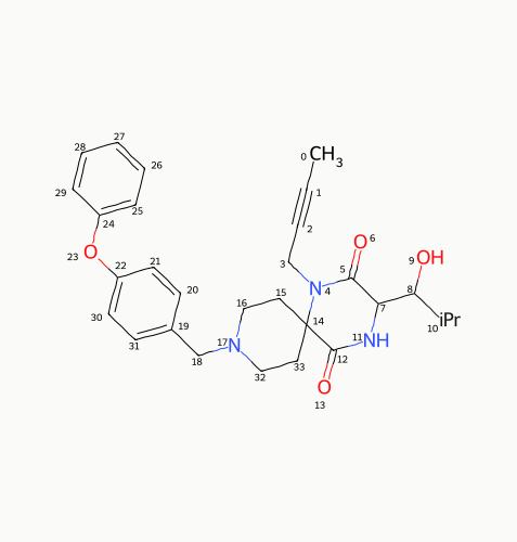 CC#CCN1C(=O)C(C(O)C(C)C)NC(=O)C12CCN(Cc1ccc(Oc3ccccc3)cc1)CC2